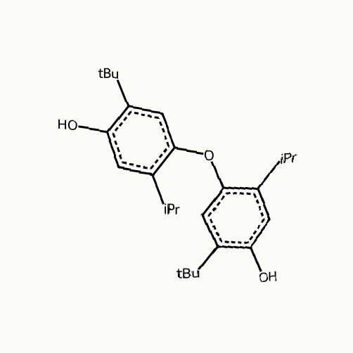 CC(C)c1cc(O)c(C(C)(C)C)cc1Oc1cc(C(C)(C)C)c(O)cc1C(C)C